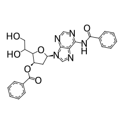 O=C(Nc1ncnc2c1ncn2[C@H]1C[C@@H](OC(=O)c2ccccc2)C(C(O)CO)O1)c1ccccc1